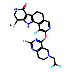 CC1CNC(=O)c2c1[nH]c1c2CCc2cnc(Oc3nc(Cl)nc4c3CN(CC(F)F)CC4)c(F)c2-1